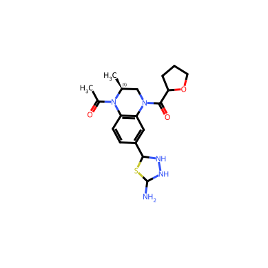 CC(=O)N1c2ccc(C3NNC(N)S3)cc2N(C(=O)C2CCCO2)C[C@@H]1C